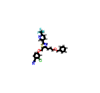 N#Cc1ccc(OCc2sc(-c3ccc(C(F)(F)F)nc3)nc2CCCOCc2ccccc2)cc1Cl